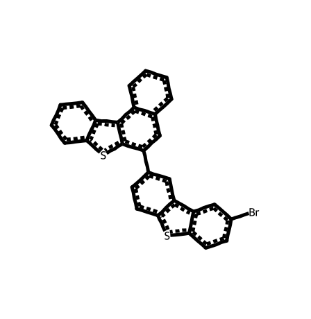 Brc1ccc2sc3ccc(-c4cc5ccccc5c5c4sc4ccccc45)cc3c2c1